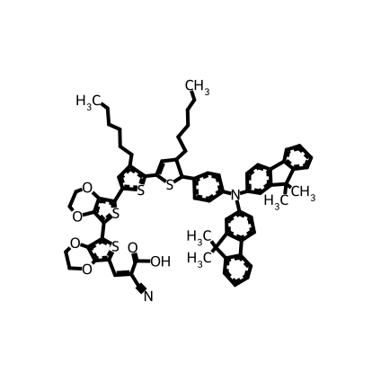 CCCCCCc1cc(-c2sc(-c3sc(/C=C(/C#N)C(=O)O)c4c3OCCO4)c3c2OCCO3)sc1C1=CC(CCCCCC)C(c2ccc(N(c3ccc4c(c3)C(C)(C)c3ccccc3-4)c3ccc4c(c3)C(C)(C)c3ccccc3-4)cc2)S1